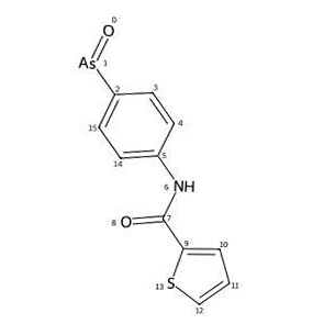 O=[As]c1ccc(NC(=O)c2cccs2)cc1